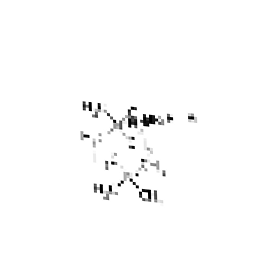 Br.Br.C[N+](C)(C)C.C[N+](C)(C)C.[Br-].[Br-]